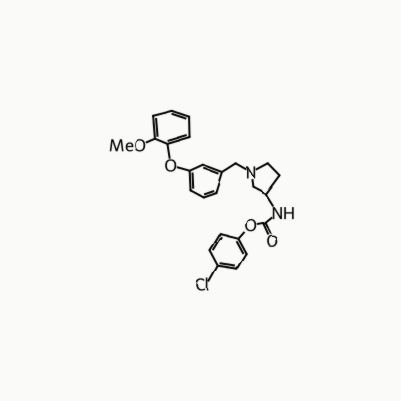 COc1ccccc1Oc1cccc(CN2CCC(NC(=O)Oc3ccc(Cl)cc3)C2)c1